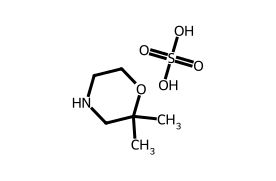 CC1(C)CNCCO1.O=S(=O)(O)O